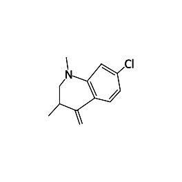 C=C1c2ccc(Cl)cc2N(C)CC1C